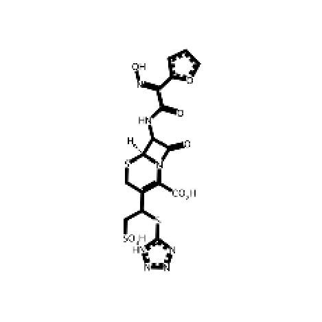 O=C(O)C1=C(C(CS(=O)(=O)O)Sc2nnn[nH]2)CS[C@H]2C(NC(=O)C(=NO)c3ccco3)C(=O)N12